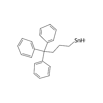 [SnH][CH2]CCC(c1ccccc1)(c1ccccc1)c1ccccc1